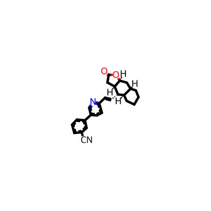 N#Cc1cccc(-c2ccc(/C=C/[C@H]3[C@@H]4CCCC[C@H]4C[C@@H]4OC(=O)C[C@H]34)nc2)c1